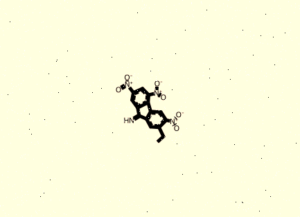 CCc1cc2c(cc1[N+](=O)[O-])-c1c(cc([N+](=O)[O-])cc1[N+](=O)[O-])C2=N